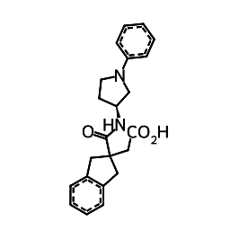 O=C(O)CC1(C(=O)N[C@H]2CCN(c3ccccc3)C2)Cc2ccccc2C1